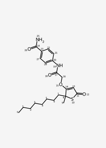 CCCCCCCCC1(C)SC(=O)C=C1OCC(=O)Nc1ccc(C(N)=O)cc1